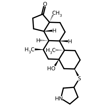 C[C@@H]1C[C@@]2(O)C[C@H](SC3CCNC3)CC[C@]2(C)[C@H]2CC[C@]3(C)C(=O)CC[C@H]3[C@H]12